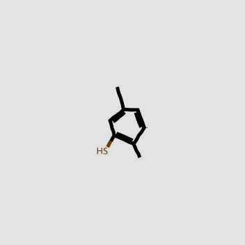 Cc1c[c]c(C)c(S)c1